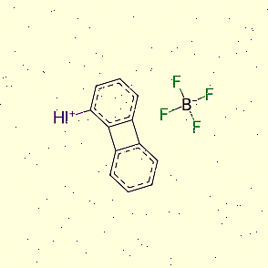 F[B-](F)(F)F.[IH+]c1cccc2c1-c1ccccc1-2